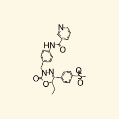 CCC1OC(=O)N(Cc2ccc(NC(=O)c3cccnc3)cc2)N=C1c1ccc(S(C)(=O)=O)cc1